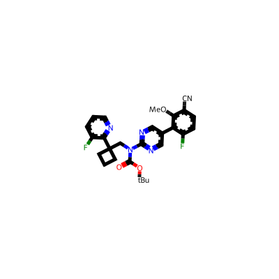 COc1c(C#N)ccc(F)c1-c1cnc(N(CC2(c3ncccc3F)CCC2)C(=O)OC(C)(C)C)nc1